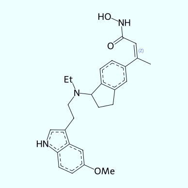 CCN(CCc1c[nH]c2ccc(OC)cc12)C1CCc2cc(/C(C)=C\C(=O)NO)ccc21